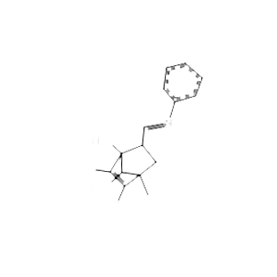 CC1=C(C)C2(C)C(C=Nc3ccccc3)CC1(C)C2C